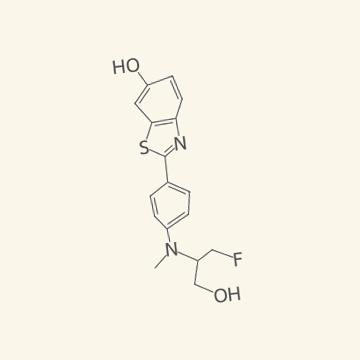 CN(c1ccc(-c2nc3ccc(O)cc3s2)cc1)C(CO)CF